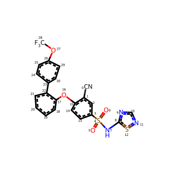 N#Cc1cc(S(=O)(=O)Nc2ncns2)ccc1Oc1ccccc1-c1ccc(OC(F)(F)F)cc1